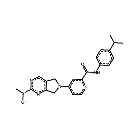 CC(C)c1ccc(NC(=O)c2cc(N3Cc4cnc([S+](C)[O-])nc4C3)ccn2)cc1